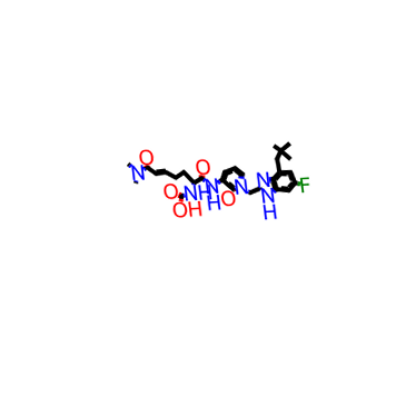 CN(C)C(=O)C=CCCC(NC(=O)O)C(=O)Nc1cccn(Cc2nc3c(CC(C)(C)C)cc(F)cc3[nH]2)c1=O